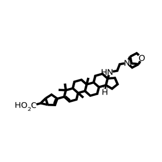 CC1(C)C(C2=CC3C(C2)C3C(=O)O)=CCC2(C)C1CCC1(C)C3CCC4(NCCN5CC6CC5CO6)CCC[C@@H]4C3CCC12